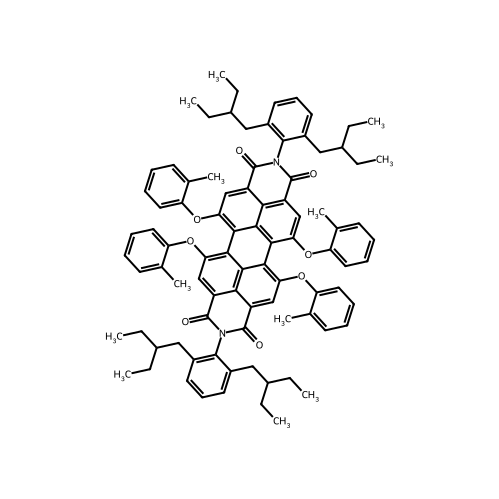 CCC(CC)Cc1cccc(CC(CC)CC)c1N1C(=O)c2cc(Oc3ccccc3C)c3c4c(Oc5ccccc5C)cc5c6c(cc(Oc7ccccc7C)c(c7c(Oc8ccccc8C)cc(c2c37)C1=O)c64)C(=O)N(c1c(CC(CC)CC)cccc1CC(CC)CC)C5=O